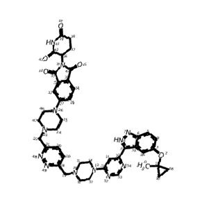 CC1(Oc2ccc3n[nH]c(-c4cc(N5CCN(Cc6ccc(CN7CCN(c8ccc9c(c8)C(=O)N(C8CCC(=O)NC8=O)C9=O)CC7)nn6)CC5)ncn4)c3c2)CC1